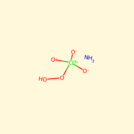 N.[O-][Cl+3]([O-])([O-])OO